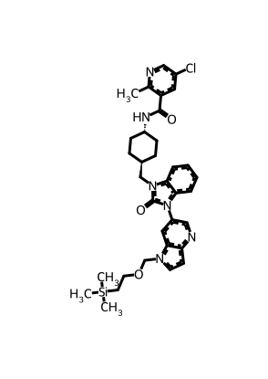 Cc1ncc(Cl)cc1C(=O)N[C@H]1CC[C@H](Cn2c(=O)n(-c3cnc4ccn(COCC[Si](C)(C)C)c4c3)c3ccccc32)CC1